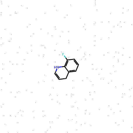 Fc1cccc2c1NC=[C]C2